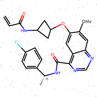 C=CC(=O)NC1CC(Oc2cc3c(C(=O)N[C@H](C)c4ccc(F)cc4)ncnc3cc2OC)C1